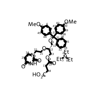 CCN(CC)CC.COc1ccc(C(OC[C@H](COC(=O)CCC(=O)O)OCCn2ccc(=O)[nH]c2=O)(c2ccccc2)c2ccc(OC)cc2)cc1